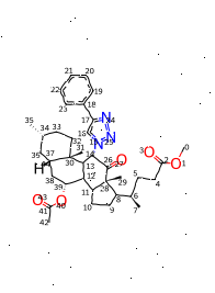 COC(=O)CC[C@@H](C)C1CCC2C3C([C@H](n4cc(-c5ccccc5)nn4)C(=O)[C@@]21C)[C@@]1(C)CC[C@@H](C)C[C@H]1C[C@H]3OC(C)=O